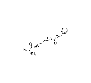 CC(C)[C@H](N)C(=O)NCCCCNC(=O)OCc1ccccc1